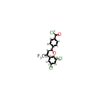 O=C(Cl)c1ccc(C(=O)/C=C(\c2cc(Cl)cc(Cl)c2)C(F)(F)F)cc1